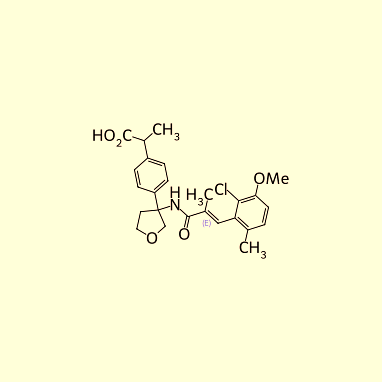 COc1ccc(C)c(/C=C(\C)C(=O)NC2(c3ccc(C(C)C(=O)O)cc3)CCOC2)c1Cl